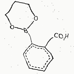 O=C(O)c1ccccc1B1OCCCO1